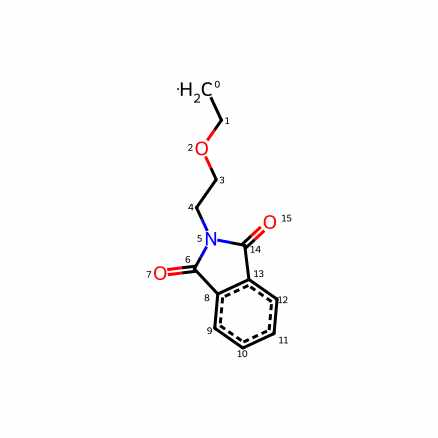 [CH2]COCCN1C(=O)c2ccccc2C1=O